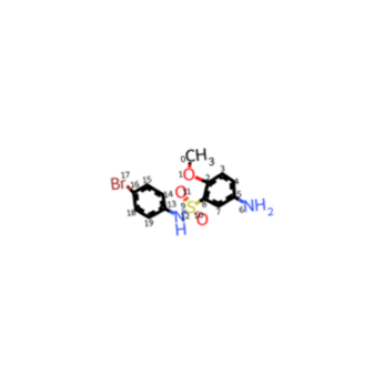 COc1ccc(N)cc1S(=O)(=O)Nc1ccc(Br)cc1